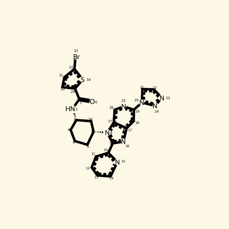 O=C(N[C@H]1CCC[C@@H](n2c(-c3ccccn3)nc3cc(-n4ccnn4)ncc32)C1)c1ccc(Br)s1